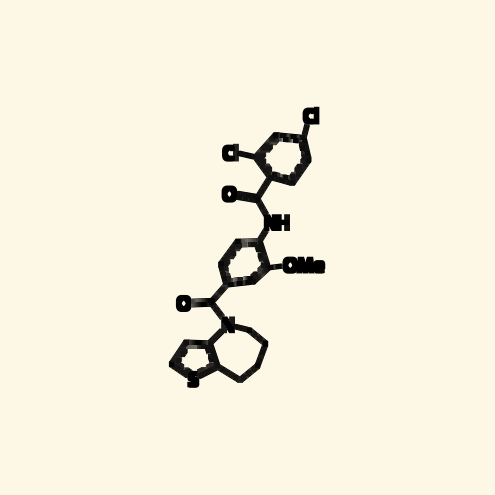 COc1cc(C(=O)N2CCCCc3sccc32)ccc1NC(=O)c1ccc(Cl)cc1Cl